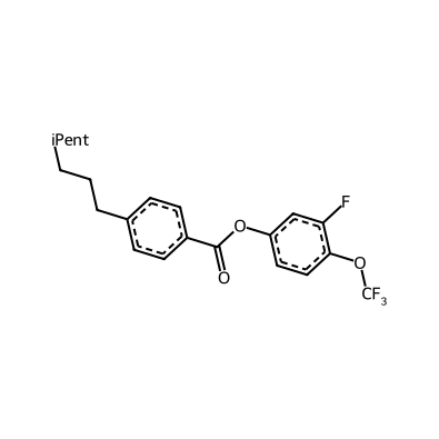 CCCC(C)CCCc1ccc(C(=O)Oc2ccc(OC(F)(F)F)c(F)c2)cc1